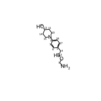 NCOBCc1ccc(N2CCC(O)CC2)cc1